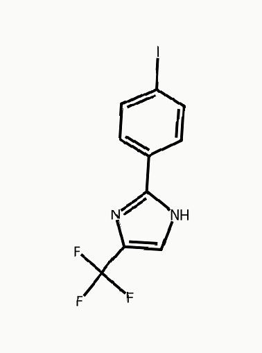 FC(F)(F)c1c[nH]c(-c2ccc(I)cc2)n1